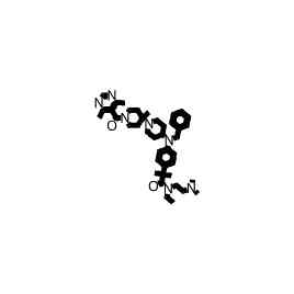 CCN(CCN(C)C)C(=O)C(C)(C)c1ccc(N(Cc2ccccc2)C2CCN(C3(C)CCN(C(=O)c4c(C)ncnc4C)CC3)CC2)cc1